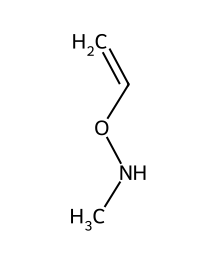 C=CONC